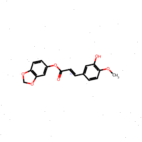 COc1ccc(/C=C/C(=O)Oc2ccc3c(c2)OCO3)cc1O